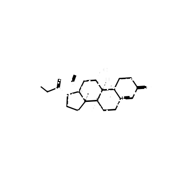 CCC(=O)[C@H]1CC[C@H]2[C@@H]3CCC4=CC(=O)CC[C@]4(C)[C@H]3[C@@H](O)C[C@]12C=O